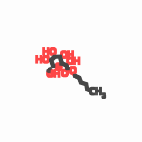 CCCCCCOC(=O)C(O)C1O[C@H](CO)[C@H](O)[C@H](O)[C@H]1O